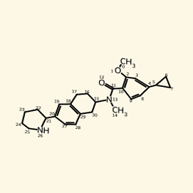 COc1cc(C2CC2)ccc1C(=O)N(C)C1CCc2cc(C3CCCCN3)ccc2C1